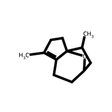 CC1=C2CCC3CC(C)C2(CC1)O3